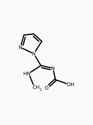 CNC(=NC(=O)O)n1cccn1